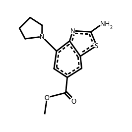 COC(=O)c1cc(N2CCCC2)c2nc(N)sc2c1